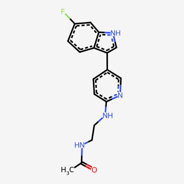 CC(=O)NCCNc1ccc(-c2c[nH]c3cc(F)ccc23)cn1